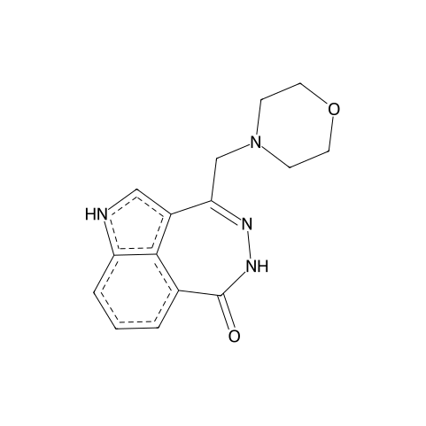 O=C1NN=C(CN2CCOCC2)c2c[nH]c3cccc1c23